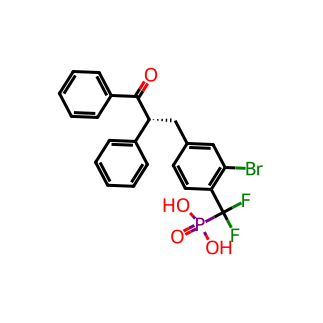 O=C(c1ccccc1)[C@H](Cc1ccc(C(F)(F)P(=O)(O)O)c(Br)c1)c1ccccc1